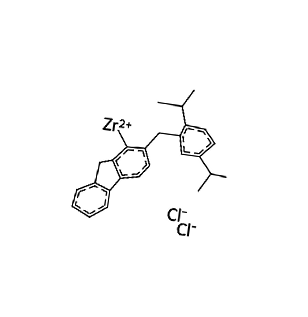 CC(C)c1ccc(C(C)C)c(Cc2ccc3c([c]2[Zr+2])Cc2ccccc2-3)c1.[Cl-].[Cl-]